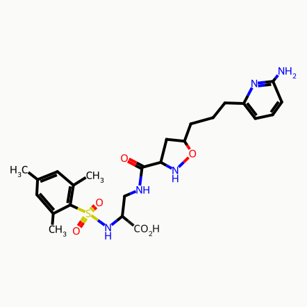 Cc1cc(C)c(S(=O)(=O)NC(CNC(=O)C2CC(CCCc3cccc(N)n3)ON2)C(=O)O)c(C)c1